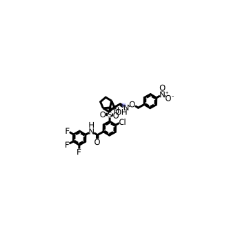 O=C(Nc1cc(F)c(F)c(F)c1)c1ccc(Cl)c(S(=O)(=O)[C@@H]2C3CCC2[C@@](O)(/C=N/OCc2ccc([N+](=O)[O-])cc2)C3)c1